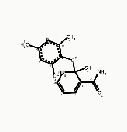 Cc1cc(C)c(OC2(S)NC=CC=C2C(N)=O)c(C)c1